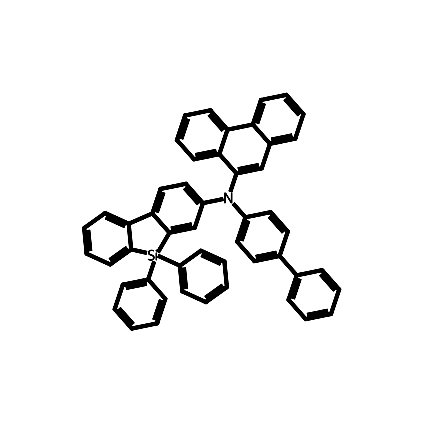 c1ccc(-c2ccc(N(c3ccc4c(c3)[Si](c3ccccc3)(c3ccccc3)c3ccccc3-4)c3cc4ccccc4c4ccccc34)cc2)cc1